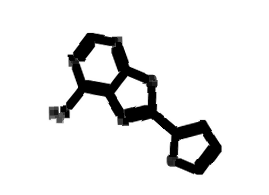 Nc1ncnc2oc(-c3ccco3)nc12